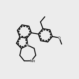 CCc1cc(OC)ccc1-c1cccc2cc3n(c12)CCNCC3